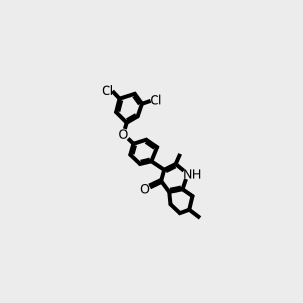 Cc1[nH]c2c(c(=O)c1-c1ccc(Oc3cc(Cl)cc(Cl)c3)cc1)CCC(C)C2